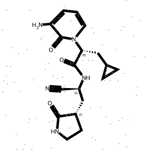 N#C[C@H](C[C@@H]1CCNC1=O)NC(=O)[C@@H](CC1CC1)n1cccc(N)c1=O